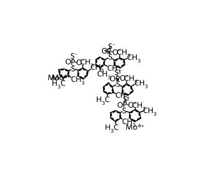 Cc1cccc(S(c2cccc(C)c2C)=P([O-])([O-])[S-])c1C.Cc1cccc(S(c2cccc(C)c2C)=P([O-])([O-])[S-])c1C.Cc1cccc(S(c2cccc(C)c2C)=P([O-])([O-])[S-])c1C.Cc1cccc(S(c2cccc(C)c2C)=P([O-])([O-])[S-])c1C.[Mo+4].[Mo+4].[Mo+4]